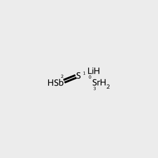 [LiH].[S]=[SbH].[SrH2]